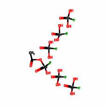 CC(=O)O[As](=O)(O)F.O=[As](O)(O)F.O=[As](O)(O)F.O=[As](O)(O)F.O=[As](O)(O)F.O=[As](O)(O)F